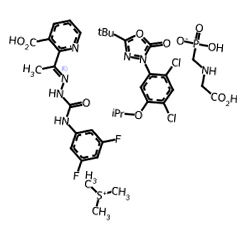 C/C(=N\NC(=O)Nc1cc(F)cc(F)c1)c1ncccc1C(=O)O.CC(C)Oc1cc(-n2nc(C(C)(C)C)oc2=O)c(Cl)cc1Cl.C[S+](C)C.O=C(O)CNCP(=O)([O-])O